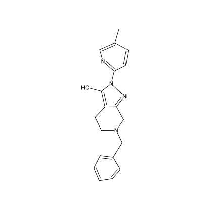 Cc1ccc(-n2nc3c(c2O)CCN(Cc2ccccc2)C3)nc1